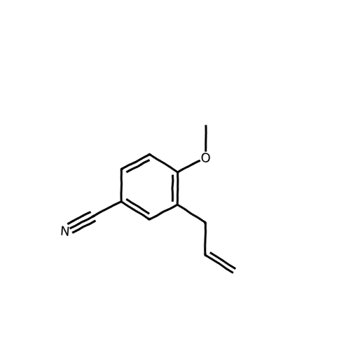 C=CCc1cc(C#N)ccc1OC